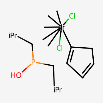 CC(C)CP(O)CC(C)C.[CH3][Ir]([CH3])([CH3])([CH3])([CH3])([Cl])([Cl])[C]1=CC=CC1